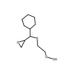 OOCCOC(C1CCCCC1)C1CO1